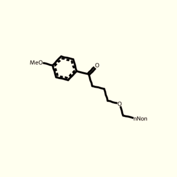 CCCCCCCCCCOCCCC(=O)c1ccc(OC)cc1